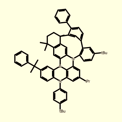 CC(C)c1cc2c3c(c1)N1c4cc5c(cc4B3c3cc(C(C)(C)c4ccccc4)ccc3N2c2ccc(C(C)(C)C)cc2)C(C)(C)CCC5(C)c2cc(ccc2-c2ccccc2)-c2cc(C(C)(C)C)ccc21